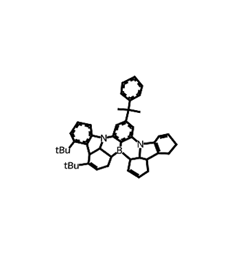 CC(C)(C)C1=CCC2B3c4c(cc(C(C)(C)c5ccccc5)cc4N4c5cccc(C(C)(C)C)c5C1C24)N1C2=C(CCC=C2)C2CC=CC3C21